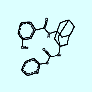 COc1cccc(C(=O)NC23CC4CC(CC(NC(=O)Oc5ccccn5)(C4)C2)C3)c1